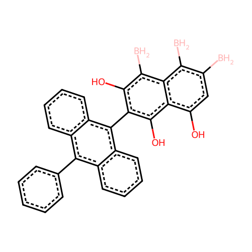 Bc1cc(O)c2c(O)c(-c3c4ccccc4c(-c4ccccc4)c4ccccc34)c(O)c(B)c2c1B